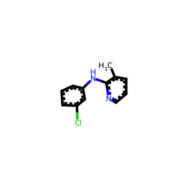 Cc1cccnc1Nc1cccc(Cl)c1